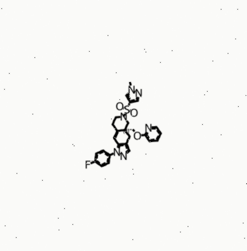 Cn1cc(S(=O)(=O)N2CCC3=Cc4c(cnn4-c4ccc(F)cc4)C[C@]3(COc3ccccn3)C2)cn1